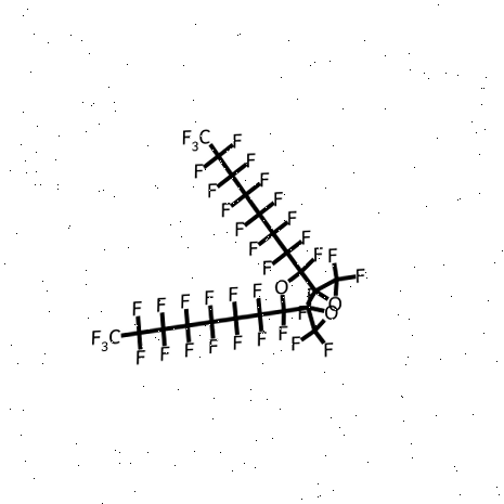 FC(F)(F)C(F)(F)C(F)(F)C(F)(F)C(F)(F)C(F)(F)C(F)(F)C(F)(OC(F)(C(F)(F)C(F)(F)C(F)(F)C(F)(F)C(F)(F)C(F)(F)C(F)(F)F)C1(F)OC1(F)F)C1(F)OC1(F)F